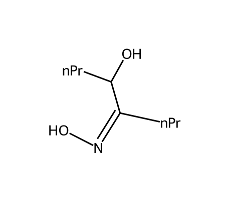 CCCC(=NO)C(O)CCC